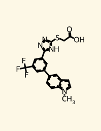 Cn1ccc2cc(-c3cc(-c4nnc(SCC(=O)O)[nH]4)cc(C(F)(F)F)c3)ccc21